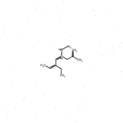 C=C(C)C/[PH](=C\C(=C/C)CC)NP